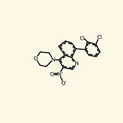 O=[N+]([O-])c1cnc2c(-c3cccc(Cl)c3Cl)cccc2c1N1CCOCC1